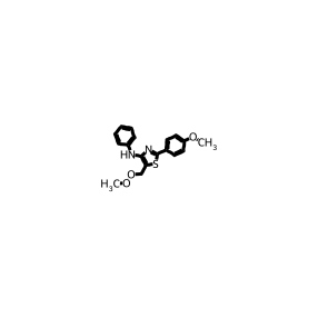 COOCc1sc(-c2ccc(OC)cc2)nc1Nc1ccccc1